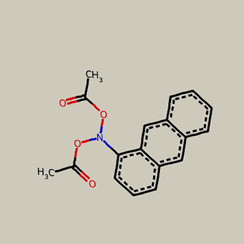 CC(=O)ON(OC(C)=O)c1cccc2cc3ccccc3cc12